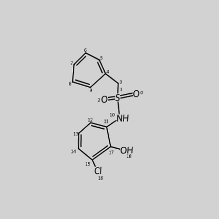 O=S(=O)(Cc1ccccc1)Nc1cccc(Cl)c1O